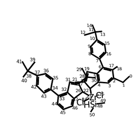 CCc1cc2c(c(-c3ccc(C(C)(C)C)cc3)c1C)C=C(C)[CH]2[Zr]([Cl])([Cl])([CH]1C(C(C)C)=Cc2c(-c3ccc(C(C)(C)C)cc3)cccc21)[SiH](C)C